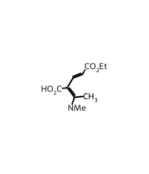 CCOC(=O)C=CC(C(=O)O)=C(C)NC